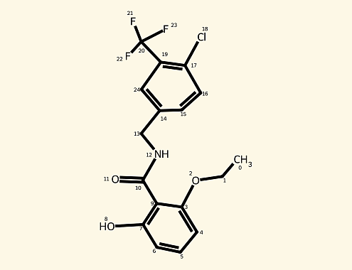 CCOc1cccc(O)c1C(=O)NCc1ccc(Cl)c(C(F)(F)F)c1